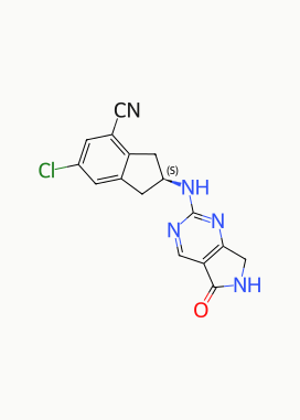 N#Cc1cc(Cl)cc2c1C[C@@H](Nc1ncc3c(n1)CNC3=O)C2